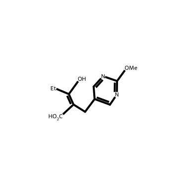 CCC(O)=C(Cc1cnc(OC)nc1)C(=O)O